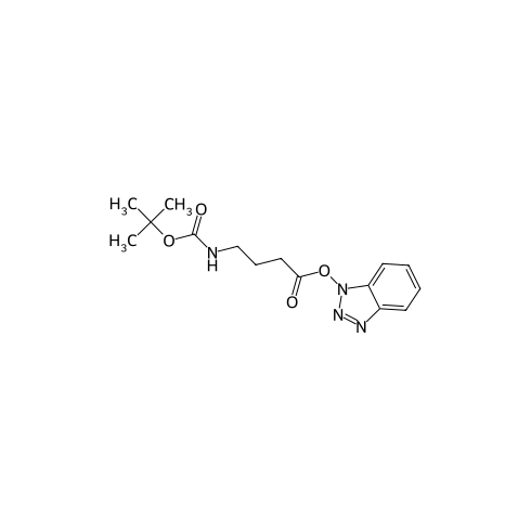 CC(C)(C)OC(=O)NCCCC(=O)On1nnc2ccccc21